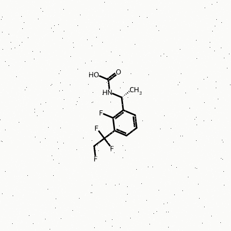 C[C@@H](NC(=O)O)c1cccc(C(F)(F)CF)c1F